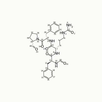 NC(=O)NCCC[C@H](NC(=O)[C@H](Cc1ccccc1)NC=O)C(=O)N[C@@H](Cc1ccccc1)C(=O)N1CCC[C@H]1C=O